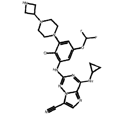 N#Cc1cnc2c(NC3CC3)nc(Nc3cc(OC(F)F)cc(N4CCN(C5CNC5)CC4)c3Cl)nn12